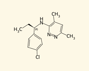 CC[C@@H](Nc1nnc(C)cc1C)c1ccc(Cl)cc1